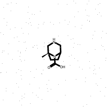 C[C@@]12CCC(CNC1)N2C(=O)O